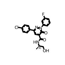 C[C@H](CO)NC(=O)c1cc(-c2ccc(Cl)cc2)nn(-c2cccc(F)c2)c1=O